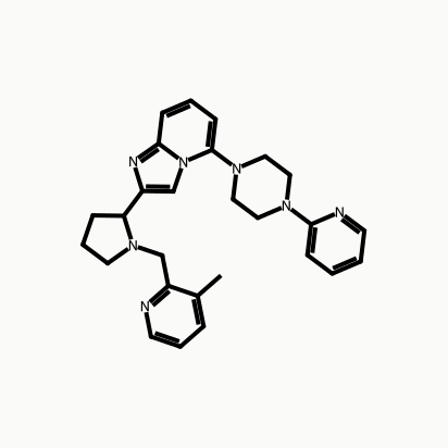 Cc1cccnc1CN1CCCC1c1cn2c(N3CCN(c4ccccn4)CC3)cccc2n1